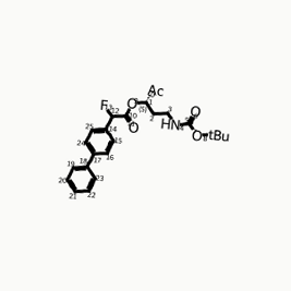 CC(=O)[C@H](CCNC(=O)OC(C)(C)C)OC(=O)C(F)c1ccc(-c2ccccc2)cc1